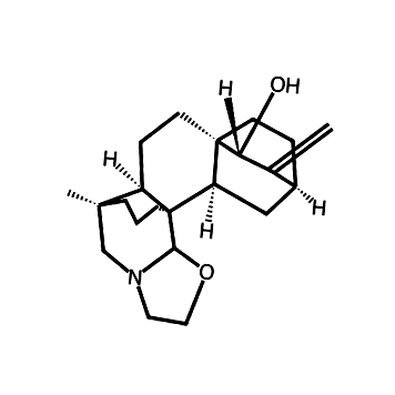 C=C1[C@H]2CC[C@@]3(CC[C@@H]4[C@@]5(C)CCC[C@@]4(C4OCCN4C5)[C@@H]3C2)[C@@H]1O